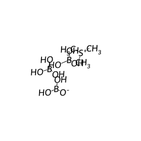 C[S+](C)C.OB(O)O.OB(O)O.[O-]B(O)O